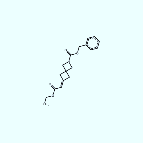 CCOC(=O)C=C1CC2(C1)CN(C(=O)OCc1ccccc1)C2